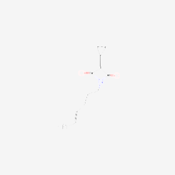 CCCC=CCCCN1C(=O)C(C2CC2)C1=O